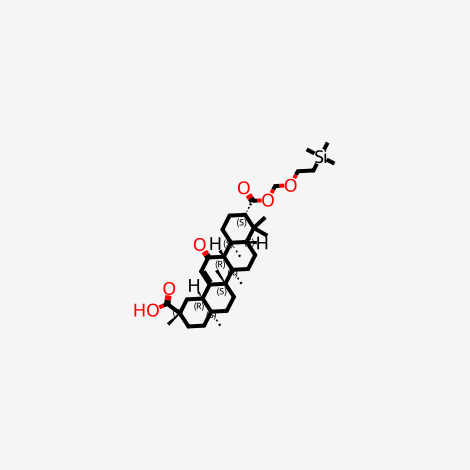 CC1(C)[C@@H](C(=O)OCOCC[Si](C)(C)C)CC[C@]2(C)[C@H]3C(=O)C=C4[C@@H]5C[C@@](C)(C(=O)O)CC[C@]5(C)CC[C@@]4(C)[C@]3(C)CC[C@@H]12